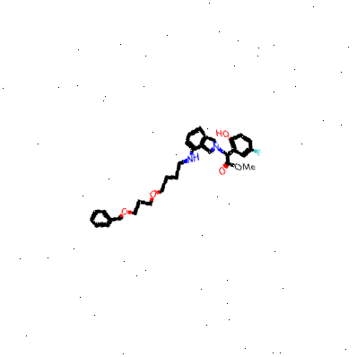 COC(=O)C(c1cc(F)ccc1O)N1Cc2cccc(NCCCCOCCCOCc3ccccc3)c2C1